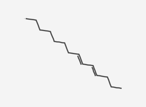 [CH2]CCCCCC/C=C/C=C/CCC